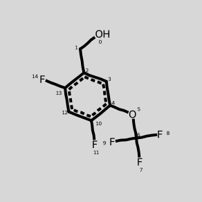 OCc1cc(OC(F)(F)F)c(F)cc1F